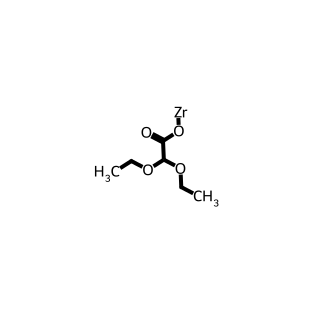 CCOC(OCC)C(=O)[O][Zr]